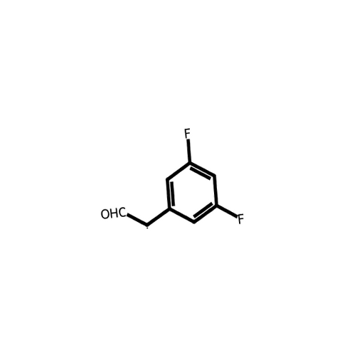 O=C[CH]c1cc(F)cc(F)c1